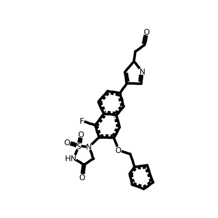 O=CCC1C=C(c2ccc3c(F)c(N4CC(=O)NS4(=O)=O)c(OCc4ccccc4)cc3c2)C=N1